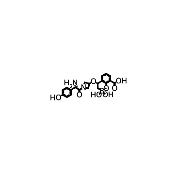 N[C@@H](C(=O)N1CC(OC2C[B-](O)(O)Oc3c(C(=O)O)cccc32)C1)c1ccc(O)cc1